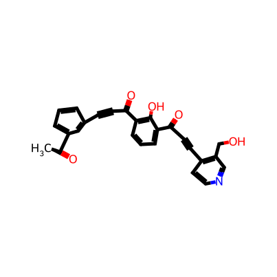 CC(=O)c1cccc(C#CC(=O)c2cccc(C(=O)C#Cc3ccncc3CO)c2O)c1